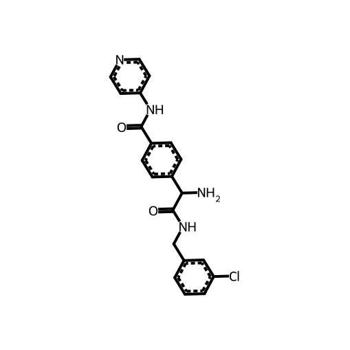 NC(C(=O)NCc1cccc(Cl)c1)c1ccc(C(=O)Nc2ccncc2)cc1